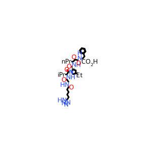 CCCC(NC(=O)[C@@H]1C[C@@H](CC)CN1C(=O)C(NC(=O)CNC(=O)CCCCc1nnn[nH]1)C(C)C)C(=O)C(=O)NC(Cc1ccccc1)C(=O)O